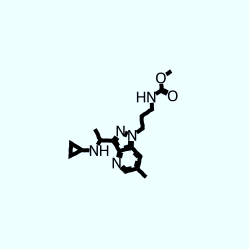 COC(=O)NCCCn1nc(C(C)NC2CC2)c2ncc(C)cc21